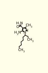 CCCCCCC(CC)n1nc(C)c(C(N)=O)c1N